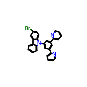 Brc1ccc2c(c1)c1ccccc1n2-c1cc(-c2ccccn2)cc(-c2ccccn2)c1